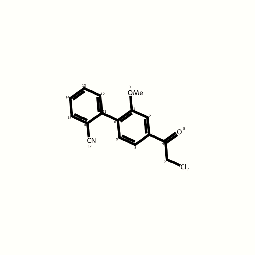 COc1cc(C(=O)CCl)ccc1-c1ccccc1C#N